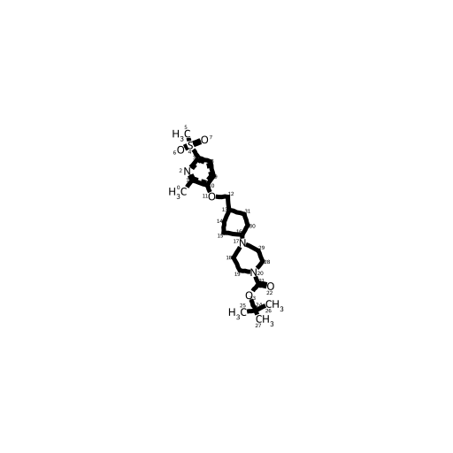 Cc1nc(S(C)(=O)=O)ccc1OCC1CCC(N2CCN(C(=O)OC(C)(C)C)CC2)CC1